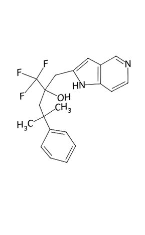 CC(C)(CC(O)(Cc1cc2cnccc2[nH]1)C(F)(F)F)c1ccccc1